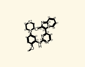 COc1ccc(N2CCSCC2)cc1Nc1nccc(-c2c(Cl)nc3ccccn23)n1